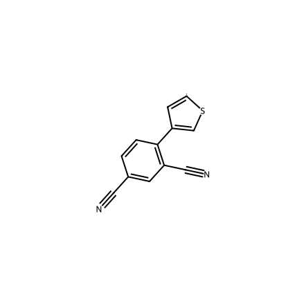 N#Cc1ccc(-c2c[c]sc2)c(C#N)c1